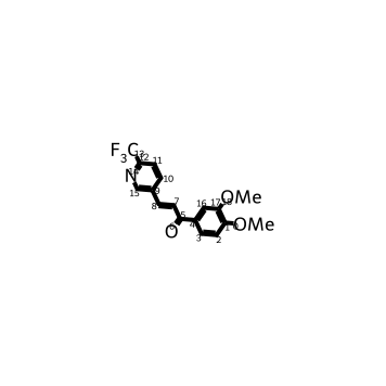 COc1ccc(C(=O)C=Cc2ccc(C(F)(F)F)nc2)cc1OC